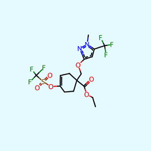 CCOC(=O)C1(COc2cc(C(F)(F)F)n(C)n2)CC=C(OS(=O)(=O)C(F)(F)F)CC1